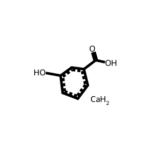 O=C(O)c1cccc(O)c1.[CaH2]